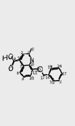 Cc1cc(C(=O)O)c2cccc(OCc3ccccc3)c2n1